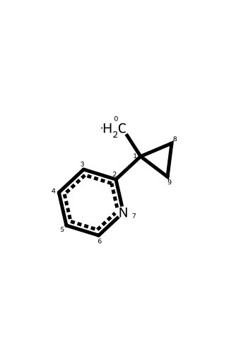 [CH2]C1(c2ccccn2)CC1